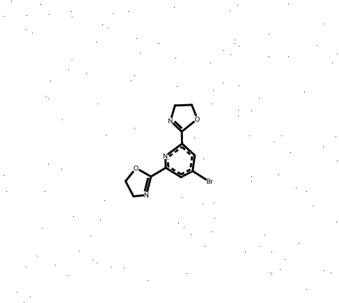 Brc1cc(C2=NCCO2)nc(C2=NCCO2)c1